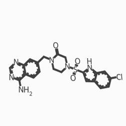 Nc1ncnc2cc(CN3CCN(S(=O)(=O)c4cc5ccc(Cl)cc5[nH]4)CC3=O)ccc12